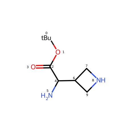 CC(C)(C)OC(=O)C(N)C1CNC1